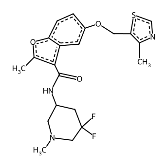 Cc1ncsc1COc1ccc2oc(C)c(C(=O)NC3CN(C)CC(F)(F)C3)c2c1